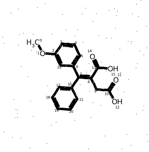 COc1cccc(C(=C(CC(=O)O)C(=O)O)c2ccccc2)c1